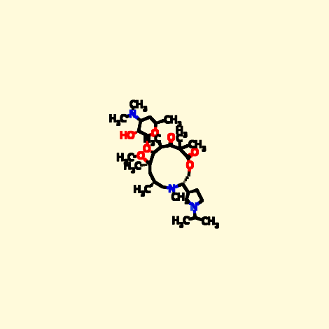 CO[C@]1(C)C[C@@H](C)CN(C)[C@@H]([C@H]2CCN(C(C)C)C2)COC(=O)C(C)(C)C(=O)[C@H](C)[C@H]1O[C@@H]1O[C@H](C)C[C@H](N(C)C)[C@H]1O